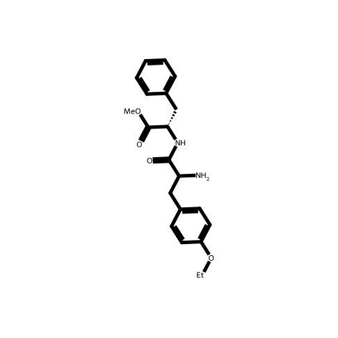 CCOc1ccc(CC(N)C(=O)N[C@@H](Cc2ccccc2)C(=O)OC)cc1